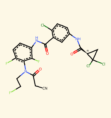 N#CCC(=O)N(CCF)c1c(F)ccc(NC(=O)c2cc(NC(=O)[C@H]3CC3(Cl)Cl)ccc2Cl)c1F